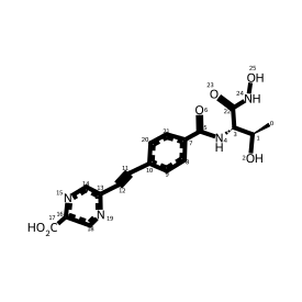 C[C@@H](O)[C@H](NC(=O)c1ccc(C#Cc2cnc(C(=O)O)cn2)cc1)C(=O)NO